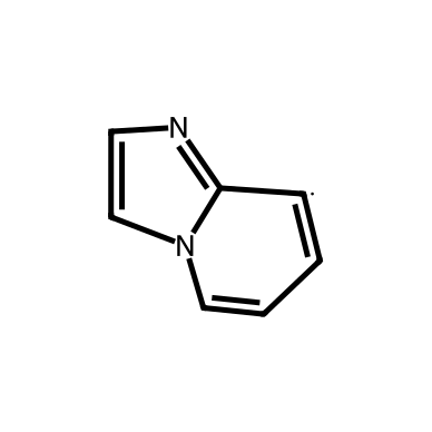 [c]1cccn2ccnc12